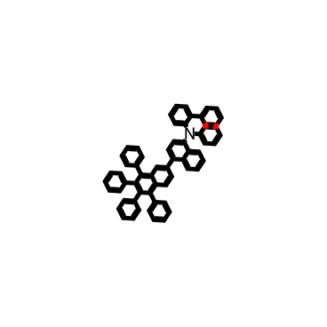 c1ccc(-c2ccccc2N(c2ccccc2)c2ccc(-c3ccc4c(-c5ccccc5)c(-c5ccccc5)c(-c5ccccc5)c(-c5ccccc5)c4c3)c3ccccc23)cc1